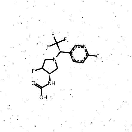 O=C(O)N[C@@H]1CN([C@H](c2ccc(Cl)nc2)C(F)(F)F)CC1F